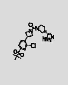 CC(C)(C)S(=O)(=O)c1ccc(C2CN(C(=O)N3CC[C@H](c4cnn[nH]4)C3)C2)c(Cl)c1